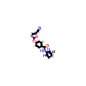 N#Cc1cnc(Oc2ccc(C(=O)N[C@@H]3C[C@H]4CC[C@@H]3N4)cc2)o1